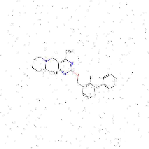 COc1nc(OCc2cccc(-c3ccccc3)c2C)ncc1CN1CCCC[C@H]1C(=O)O